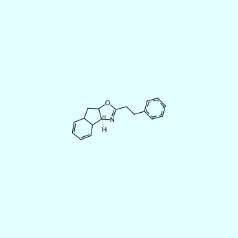 C1=CC2CC3OC(CCc4ccccc4)=N[C@H]3C2C=C1